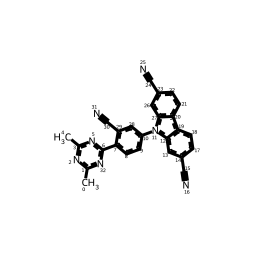 Cc1nc(C)nc(-c2ccc(-n3c4cc(C#N)ccc4c4ccc(C#N)cc43)cc2C#N)n1